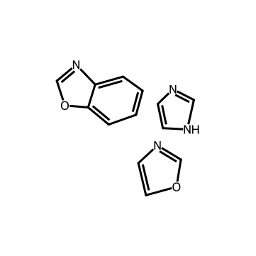 c1c[nH]cn1.c1ccc2ocnc2c1.c1cocn1